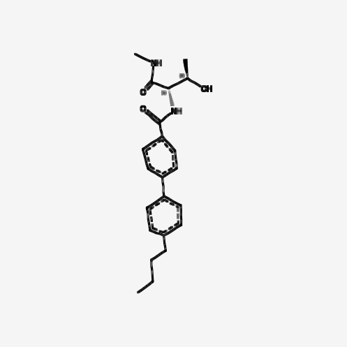 CCCCc1ccc(-c2ccc(C(=O)N[C@H](C(=O)NC)[C@@H](C)O)cc2)cc1